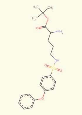 CC(C)(C)OC(=O)C(N)CCCNS(=O)(=O)c1ccc(Oc2ccccc2)cc1